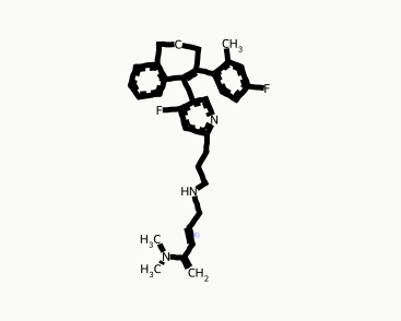 C=C(/C=C/CNCCCc1cc(F)c(C2=C(c3ccc(F)cc3C)CCCc3ccccc32)cn1)N(C)C